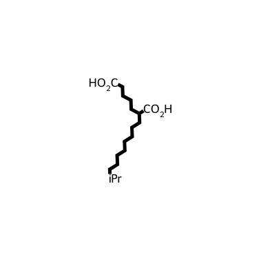 CC(C)CCCCCCCCC(CCCCC(=O)O)C(=O)O